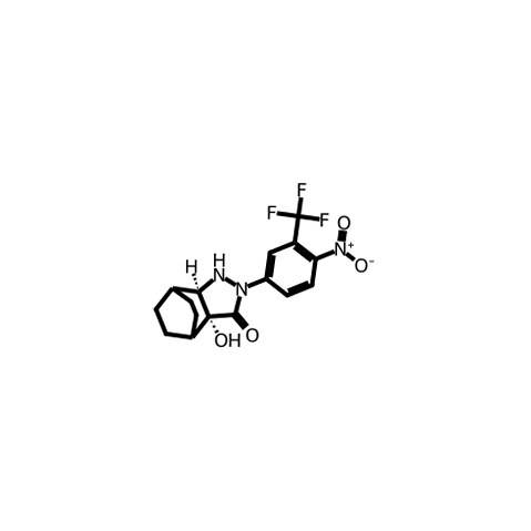 O=C1N(c2ccc([N+](=O)[O-])c(C(F)(F)F)c2)N[C@@H]2C3CCC(CC3)[C@]12O